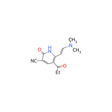 CCC(=O)c1cc(C#N)c(=O)[nH]c1/C=C/N(C)C